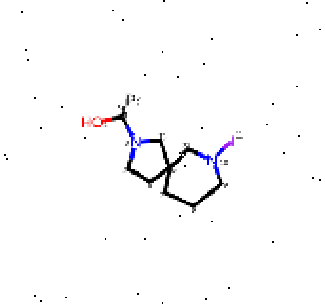 CC(C)C(O)N1CCC2(CCCN(I)C2)C1